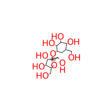 OCC1CC(O[C@]2(CO)OC(CO)C(O)C2O)C(O)C(O)C1O